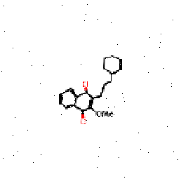 COC1=C(CCCC2CCCCC2)C(=O)c2ccccc2C1=O